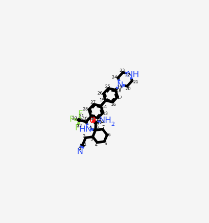 N#CCC1CCCCC1(NC(c1ccc(-c2ccc(N3CCNCC3)cc2)cc1)C(F)(F)F)C(N)=O